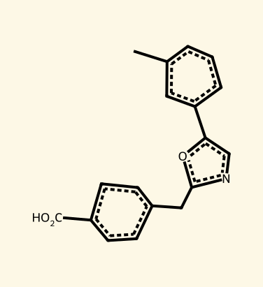 Cc1cccc(-c2cnc(Cc3ccc(C(=O)O)cc3)o2)c1